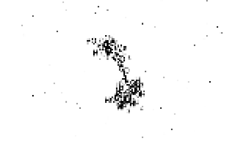 COc1c(N2CCN(C(=O)OCOC(=O)CCC(=O)OC[C@H]3O[C@H](O[C@@H]4[C@@H](O)[C@H](O[C@H]5O[C@H](CN)[C@@H](O)C[C@H]5N)[C@H](N)C[C@H]4N)[C@H](O)[C@@H](N)[C@@H]3O)C(C)C2)c(F)c(C)c2c(=O)c(C(=O)O)c(C)n(C3CC3)c12